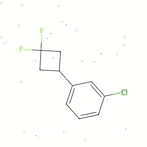 FC1(F)CC(c2cccc(Cl)c2)C1